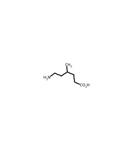 CC(CCN)CCC(=O)O